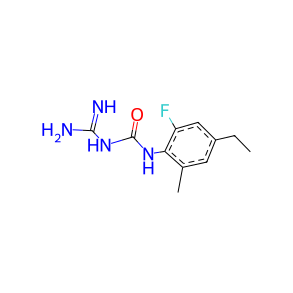 CCc1cc(C)c(NC(=O)NC(=N)N)c(F)c1